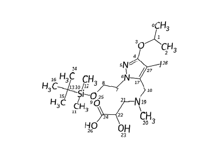 CC(C)Oc1nn(CCO[Si](C)(C)C(C)(C)C)c(CN(C)CC(O)C(=O)O)c1I